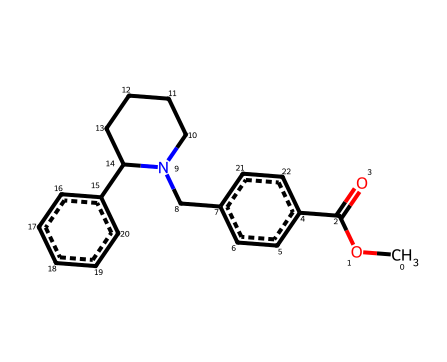 COC(=O)c1ccc(CN2CCCCC2c2ccccc2)cc1